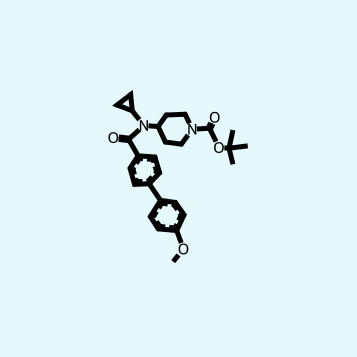 COc1ccc(-c2ccc(C(=O)N(C3CC3)C3CCN(C(=O)OC(C)(C)C)CC3)cc2)cc1